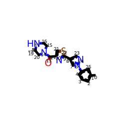 Cc1cccc(-n2cc(-c3nc(C(=O)N4CCN[C@@H](C)C4)cs3)cn2)c1